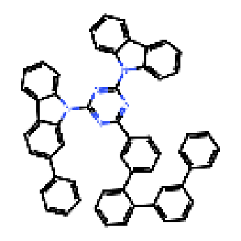 c1ccc(-c2cccc(-c3ccccc3-c3cccc(-c4nc(-n5c6ccccc6c6ccccc65)nc(-n5c6ccccc6c6ccc(-c7ccccc7)cc65)n4)c3)c2)cc1